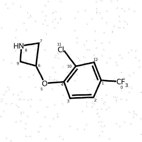 FC(F)(F)c1ccc(OC2CNC2)c(Cl)c1